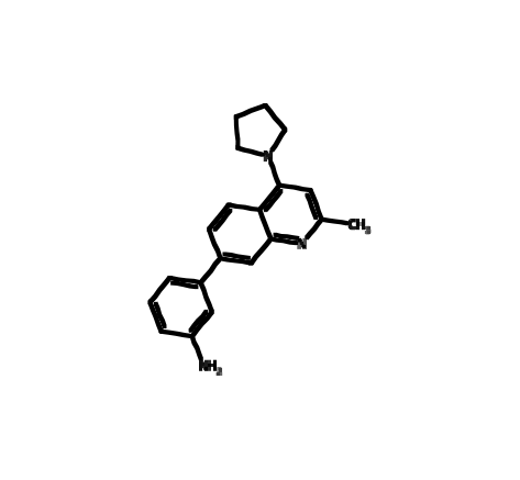 Cc1cc(N2CCCC2)c2ccc(-c3cccc(N)c3)cc2n1